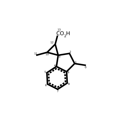 CC1CC2(c3ccccc31)C(C)C2C(=O)O